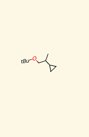 CC(COC(C)(C)C)C1CC1